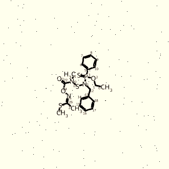 CCOP(=S)(c1ccccc1)N(Cc1ccccc1)SN(C)C(=O)ON=C(C)SC